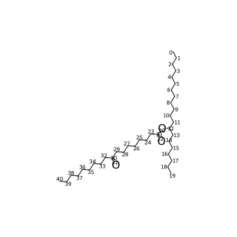 CCCCCCCCCCCCC(CCCCCCC)OC(=O)CCCCCCCC(=O)CCCCCCCCC